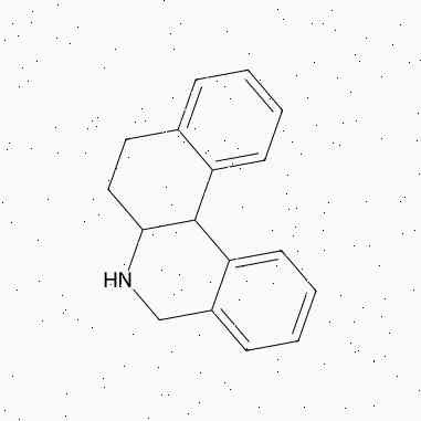 c1ccc2c(c1)CCC1NCc3ccccc3C21